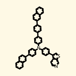 c1ccc2cc(-c3ccc(-c4ccc(N(c5ccc(-c6ccc7ccccc7c6)cc5)c5ccc(-c6csc7cnccc67)cc5)cc4)cc3)ccc2c1